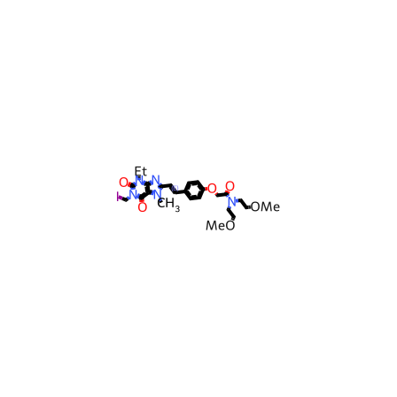 CCn1c(=O)n(CI)c(=O)c2c1nc(/C=C/c1ccc(OCC(=O)N(CCOC)CCOC)cc1)n2C